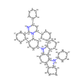 c1ccc(-c2cc(-c3ccccc3)nc(-c3ccccc3-c3ccc(-n4c5ccccc5c5c4ccc4c6ccccc6n(-c6ccccc6)c45)cc3)n2)cc1